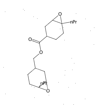 CCCC12CCC(COC(=O)C3CCC4(CCC)OC4C3)CC1O2